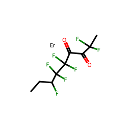 CCC(F)C(F)(F)C(F)(F)C(=O)C(=O)C(C)(F)F.[Er]